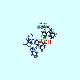 CCCc1nc2c(C)cc(-c3nc4ccccc4n3C)cc2n1Cc1ccc(-c2ccccc2C(=O)O)cc1.Fc1ccccc1C1=NCC(=S)N(CC(F)(F)F)c2ccc(Cl)cc21